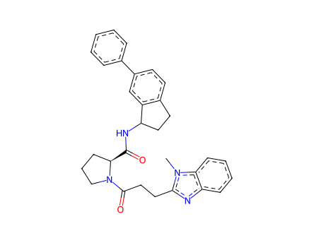 Cn1c(CCC(=O)N2CCC[C@H]2C(=O)NC2CCc3ccc(-c4ccccc4)cc32)nc2ccccc21